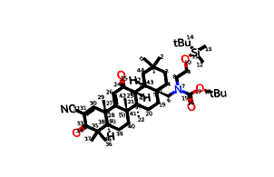 CC1(C)CC[C@]2(CN(CCO[Si](C)(C)C(C)(C)C)C(=O)OC(C)(C)C)CC[C@]3(C)[C@H](C(=O)C=C4[C@@]5(C)C=C(C#N)C(=O)C(C)(C)[C@@H]5CC[C@]43C)[C@@H]2C1